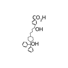 O=C(O)c1ccc(C(O)CCCC2CCC(C(O)(c3ccccc3)c3ccccc3)CC2)cc1